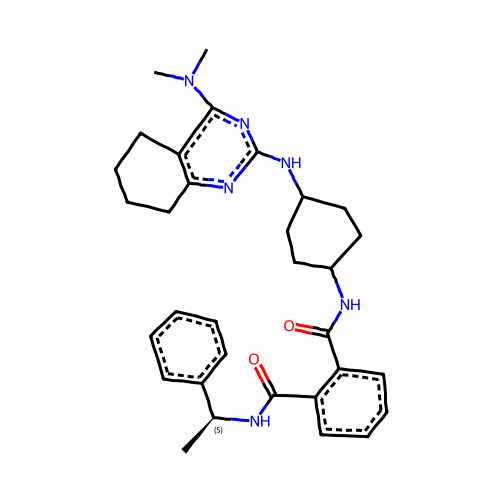 C[C@H](NC(=O)c1ccccc1C(=O)NC1CCC(Nc2nc3c(c(N(C)C)n2)CCCC3)CC1)c1ccccc1